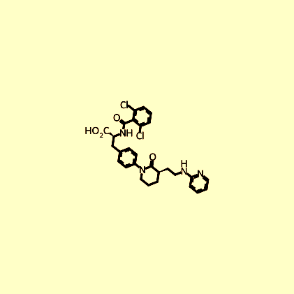 O=C(N[C@@H](Cc1ccc(N2CCC[C@H](CCNc3ccccn3)C2=O)cc1)C(=O)O)c1c(Cl)cccc1Cl